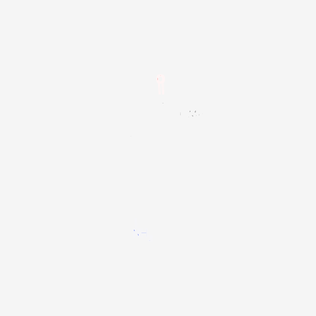 COC(=O)C1CC1c1ccc(N)cc1